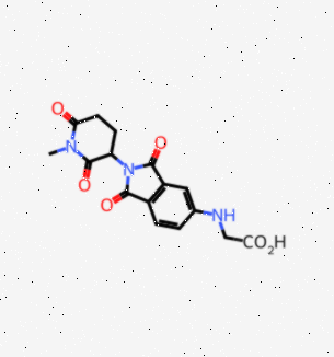 CN1C(=O)CCC(N2C(=O)c3ccc(NCC(=O)O)cc3C2=O)C1=O